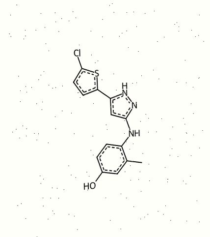 Cc1cc(O)ccc1Nc1cc(-c2ccc(Cl)s2)[nH]n1